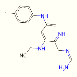 C=C(/C=C(/NCC#N)C(=N)C/N=C\N)Nc1ccc(C)cc1